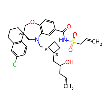 C=CCC(O)C[C@@H]1CC[C@H]1CN1C[C@@]2(CCCc3cc(Cl)ccc32)COc2ccc(C(=O)NS(=O)(=O)CC=C)cc21